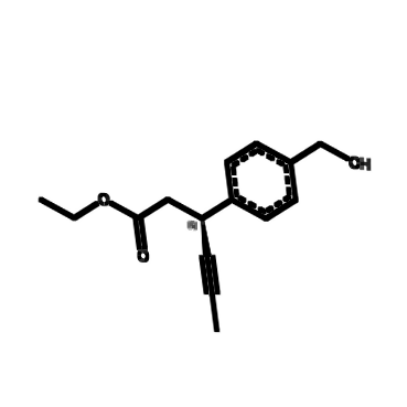 CC#C[C@@H](CC(=O)OCC)c1ccc(CO)cc1